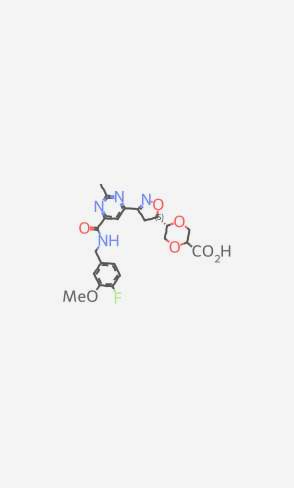 COc1cc(CNC(=O)c2cc(C3=NO[C@H](C4COC(C(=O)O)CO4)C3)nc(C)n2)ccc1F